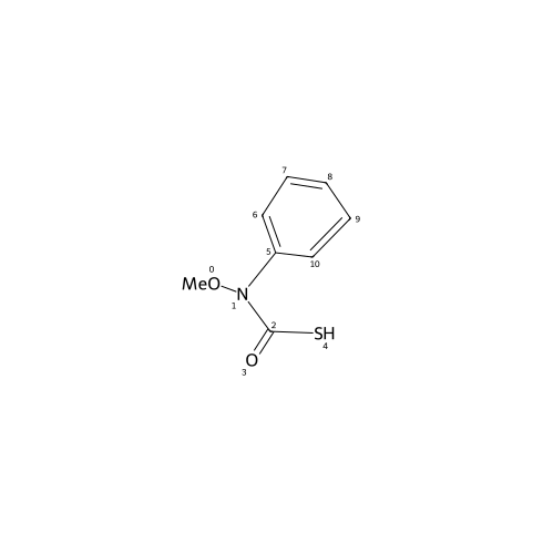 CON(C(=O)S)c1ccccc1